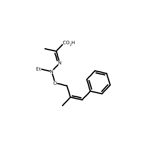 CCN(N=C(C)C(=O)O)OCC(C)=Cc1ccccc1